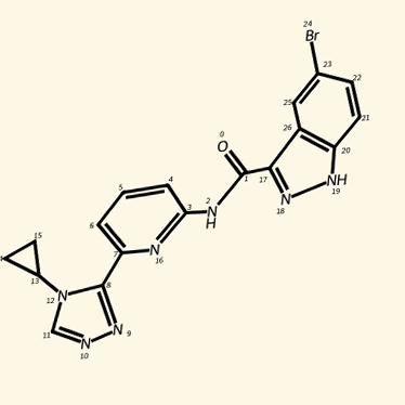 O=C(Nc1cccc(-c2nncn2C2CC2)n1)c1n[nH]c2ccc(Br)cc12